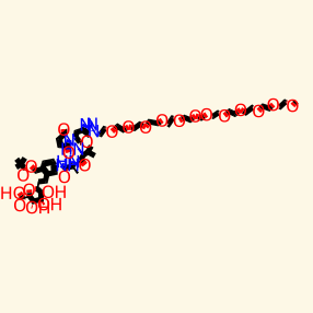 COCCOCCOCCOCCOCCOCOCCOCCOCCOCCOCCOCCn1cc(CC(C(=O)N[C@H](C(=O)N[C@@H](C)C(=O)Nc2ccc(COC(=O)C(C)(C)C)c(CC[C@@H]3O[C@H](C(=O)O)[C@@H](O)[C@H](O)[C@H]3O)c2)C(C)C)N2C(=O)C=CC2=O)nn1